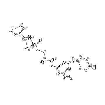 Nc1nc(COC(=O)CCC(=O)N2CCC(c3ccccc3)=N2)nc(Nc2ccc(Cl)cc2)n1